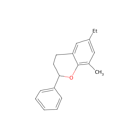 CCc1cc(C)c2c(c1)CCC(c1ccccc1)O2